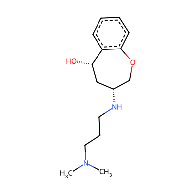 CN(C)CCCN[C@H]1COc2ccccc2[C@@H](O)C1